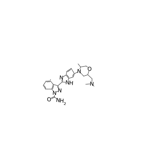 CC1COC(CN(C)C)CN1c1ccc2nc(-c3nn(C(N)=O)c4ccc[c]c34)[nH]c2c1